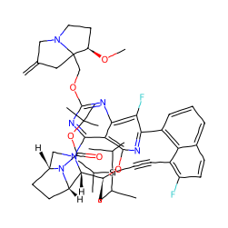 C=C1CN2CC[C@@H](OC)C2(COc2nc3c4c(nc(-c5cccc6ccc(F)c(C#C[Si](C(C)C)(C(C)C)C(C)C)c56)c(F)c4n2)O[C@@H](C)[C@@H]2[C@@H]4CC[C@H](CN32)N4C(=O)OC(C)(C)C)C1